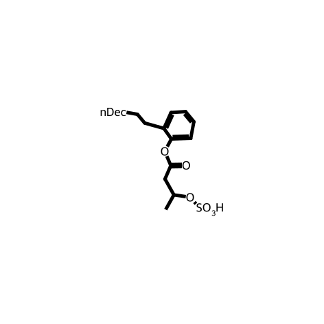 CCCCCCCCCCCCc1ccccc1OC(=O)CC(C)OS(=O)(=O)O